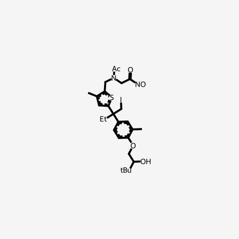 CCC(CI)(c1ccc(OCC(O)C(C)(C)C)c(C)c1)c1cc(C)c(CN(CC(=O)N=O)C(C)=O)s1